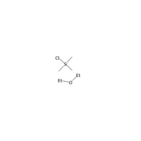 CCOCC.C[Si](C)(C)Cl